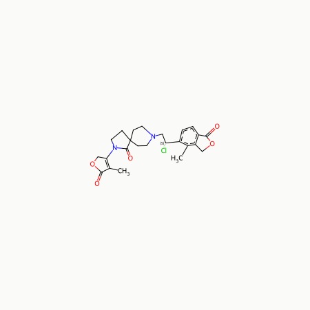 CC1=C(N2CCC3(CCN(C[C@@H](Cl)c4ccc5c(c4C)COC5=O)CC3)C2=O)COC1=O